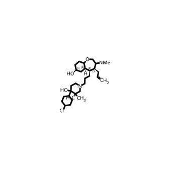 C=CC[C@@H]1C(NC)COC2CC[C@H](O)C[C@@H]2[C@@H]1CCCN1CCC(O)(C2CCC(Cl)CC2)C(C)(C)C1